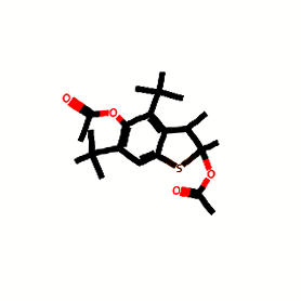 CC(=O)Oc1c(C(C)(C)C)cc2c(c1C(C)(C)C)C(C)C(C)(OC(C)=O)S2